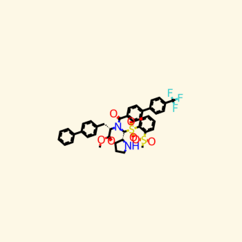 COC(=O)[C@H](Cc1ccc(-c2ccccc2)cc1)N(C(=O)c1ccc(-c2ccc(C(F)(F)F)cc2)cc1)C([C@H]1CCCN1)S(=O)(=O)c1ccccc1S(C)(=O)=O